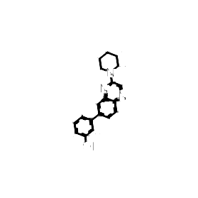 Oc1cccc(-c2ccc3ncc(N4CCCCC4)nc3c2)c1